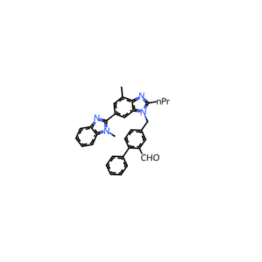 CCCc1nc2c(C)cc(-c3nc4ccccc4n3C)cc2n1Cc1ccc(-c2ccccc2)c(C=O)c1